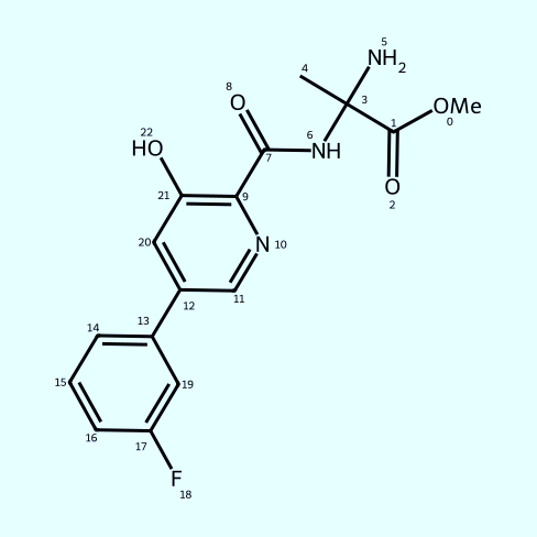 COC(=O)C(C)(N)NC(=O)c1ncc(-c2cccc(F)c2)cc1O